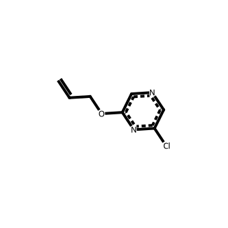 C=CCOc1cncc(Cl)n1